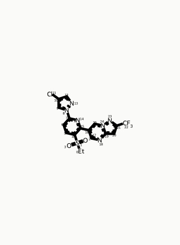 CCS(=O)(=O)c1ccc(-n2cc(Cl)cn2)nc1-c1cnc2cc(C(F)(F)F)nn2c1